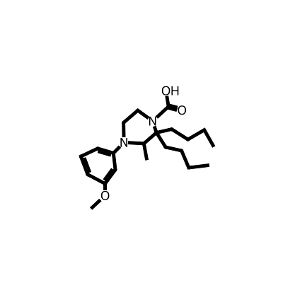 CCCCC1(CCCC)C(C)N(c2cccc(OC)c2)CCN1C(=O)O